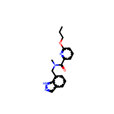 CCCOc1cccc(C(=O)N(C)Cc2cccc3cn[nH]c23)n1